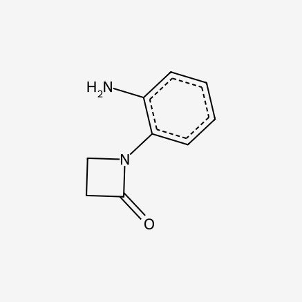 Nc1ccccc1N1CCC1=O